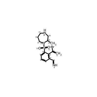 C=C(Br)c1c(C=N)cccc1S(=O)(=O)N1CCCNCC1C